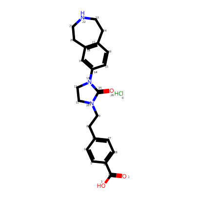 Cl.O=C(O)c1ccc(CCN2CCN(c3ccc4c(c3)CCNCC4)C2=O)cc1